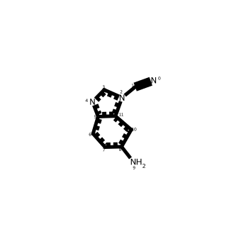 N#Cn1cnc2ccc(N)cc21